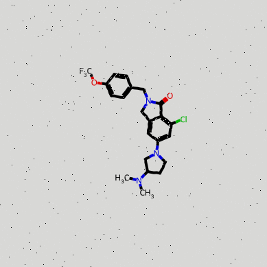 CN(C)C1CCN(c2cc(Cl)c3c(c2)CN(Cc2ccc(OC(F)(F)F)cc2)C3=O)C1